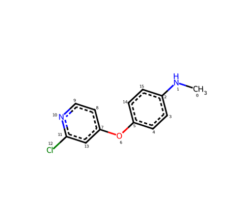 CNc1ccc(Oc2ccnc(Cl)c2)cc1